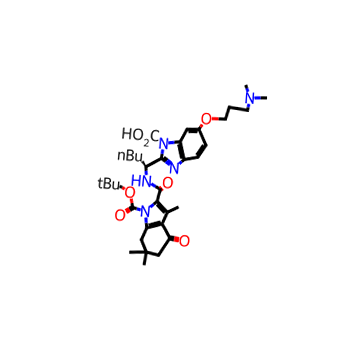 CCCC[C@H](NC(=O)c1c(C)c2c(n1C(=O)OC(C)(C)C)CC(C)(C)CC2=O)c1nc2ccc(OCCCN(C)C)cc2n1C(=O)O